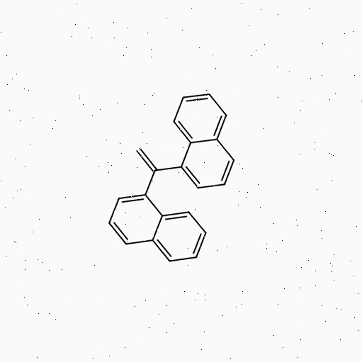 C=C(c1cccc2ccccc12)c1cccc2ccccc12